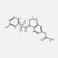 O=C(O)Cc1ccc2c(c1)OCCC2NS(=O)(=O)c1cccc(F)c1